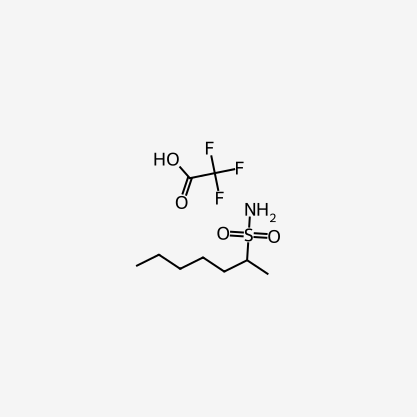 CCCCCC(C)S(N)(=O)=O.O=C(O)C(F)(F)F